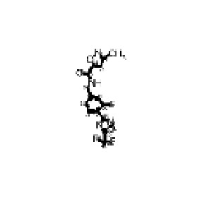 CC1=NOC(C(=O)NCc2ccc(-c3noc(C(F)(F)F)n3)c(F)c2)C1